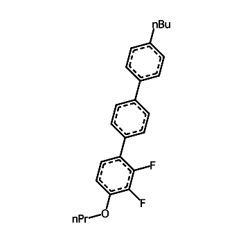 CCCCc1ccc(-c2ccc(-c3ccc(OCCC)c(F)c3F)cc2)cc1